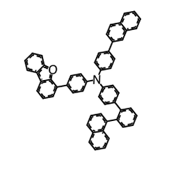 c1ccc(-c2cccc3ccccc23)c(-c2ccc(N(c3ccc(-c4ccc5ccccc5c4)cc3)c3ccc(-c4cccc5c4oc4ccccc45)cc3)cc2)c1